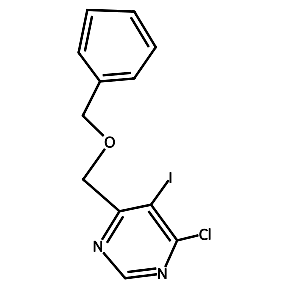 Clc1ncnc(COCc2ccccc2)c1I